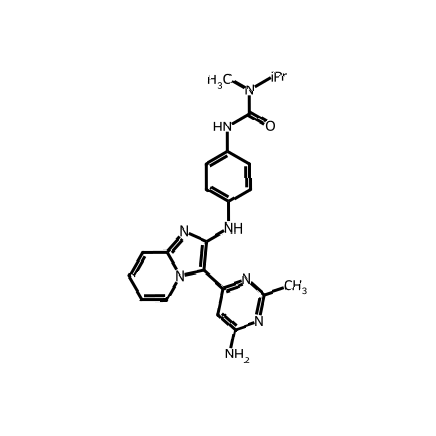 Cc1nc(N)cc(-c2c(Nc3ccc(NC(=O)N(C)C(C)C)cc3)nc3ccccn23)n1